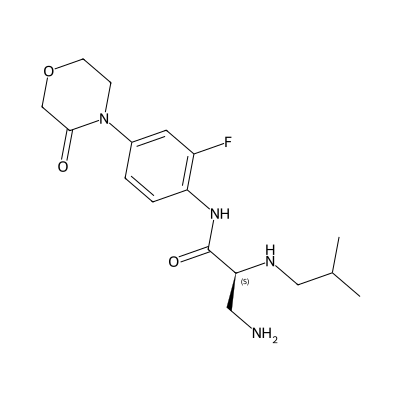 CC(C)CN[C@@H](CN)C(=O)Nc1ccc(N2CCOCC2=O)cc1F